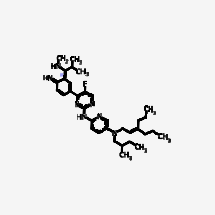 CCCC(=CCN(CC(C)CC)c1ccc(Nc2ncc(F)c(C3=C/C(=C(/NC)C(C)C)C(=N)C=C3)n2)nc1)CCC